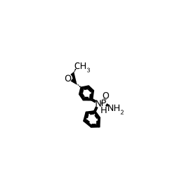 C[C@H]1O[C@H]1c1ccc(N(c2ccccc2)[PH](N)=O)cc1